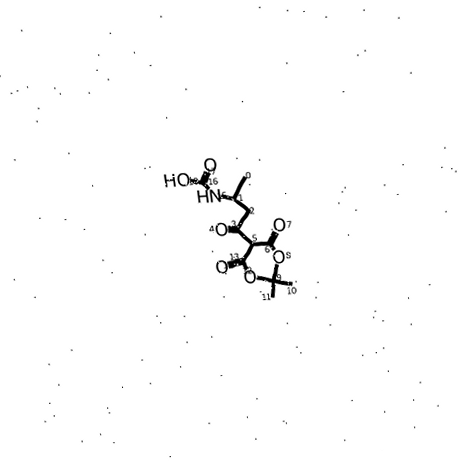 CC(CC(=O)C1C(=O)OC(C)(C)OC1=O)NC(=O)O